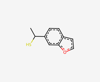 CC(S)c1ccc2ccoc2c1